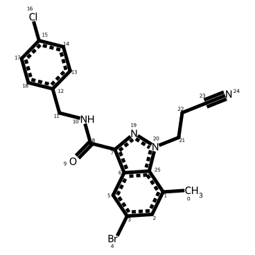 Cc1cc(Br)cc2c(C(=O)NCc3ccc(Cl)cc3)nn(CCC#N)c12